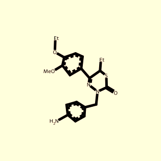 CCOc1ccc(C2=NN(Cc3ccc(N)cc3)C(=O)SC2CC)cc1OC